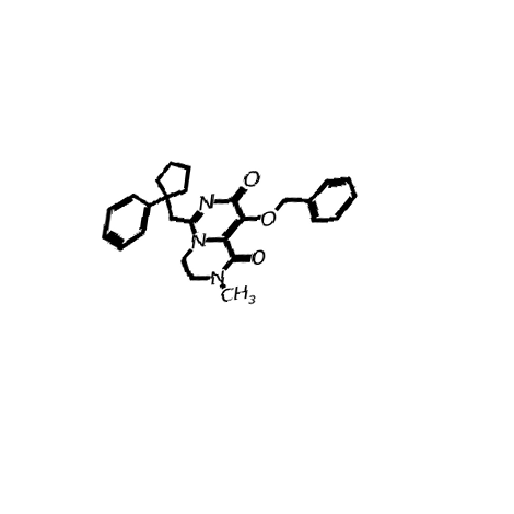 CN1CCn2c(CC3(c4ccccc4)CCCC3)nc(=O)c(OCc3ccccc3)c2C1=O